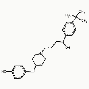 CC(C)(C)c1ccc(C(O)CCCN2CCC(Cc3ccc(O)cc3)CC2)cc1